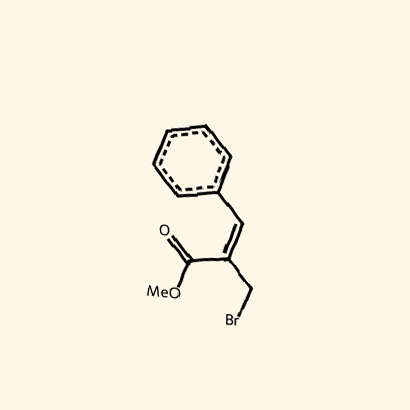 COC(=O)C(=Cc1ccccc1)CBr